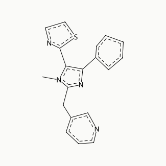 Cn1c(Cc2cccnc2)nc(-c2ccccc2)c1-c1nccs1